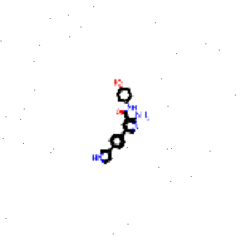 Nc1ncc(-c2ccc(C3CCNC3)cc2)cc1C(=O)N[C@H]1CC[C@H](O)CC1